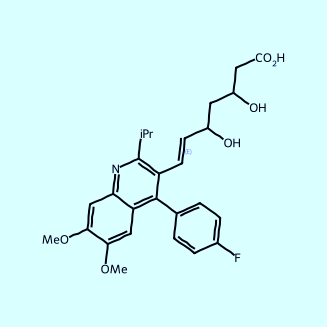 COc1cc2nc(C(C)C)c(/C=C/C(O)CC(O)CC(=O)O)c(-c3ccc(F)cc3)c2cc1OC